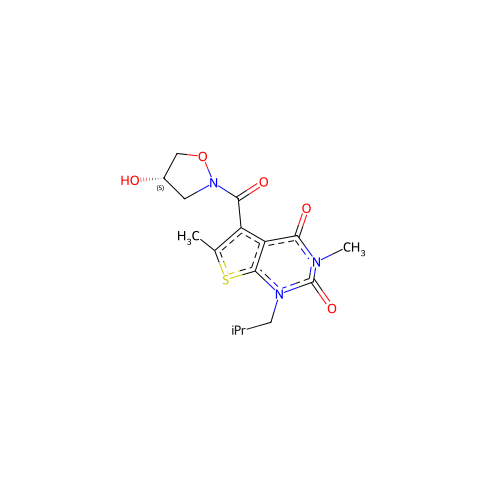 Cc1sc2c(c1C(=O)N1C[C@H](O)CO1)c(=O)n(C)c(=O)n2CC(C)C